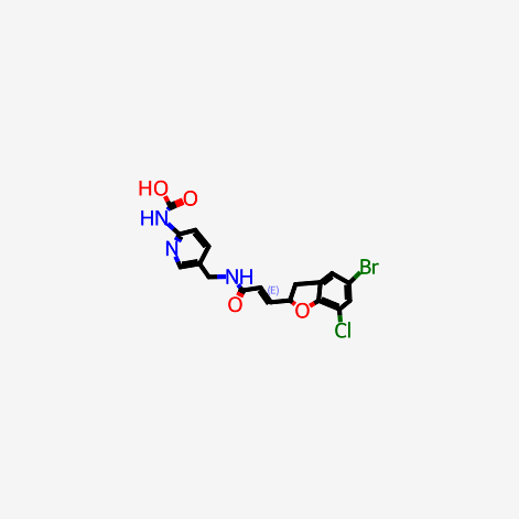 O=C(O)Nc1ccc(CNC(=O)/C=C/C2Cc3cc(Br)cc(Cl)c3O2)cn1